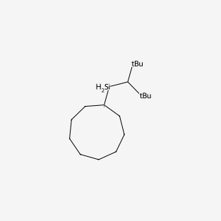 CC(C)(C)C([SiH2][C]1CCCCCCCC1)C(C)(C)C